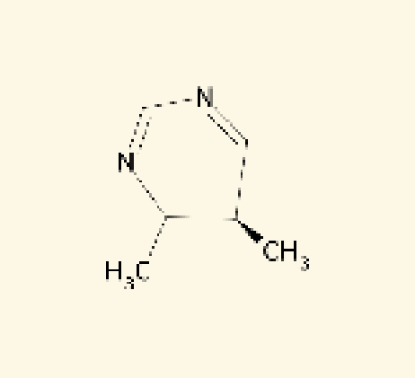 CC1N=CN=C[C@H]1C